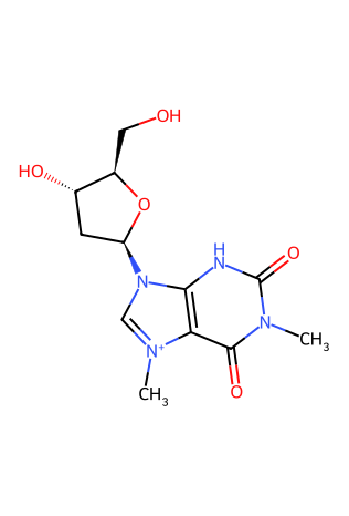 Cn1c(=O)[nH]c2c(c1=O)[n+](C)cn2[C@H]1C[C@H](O)[C@@H](CO)O1